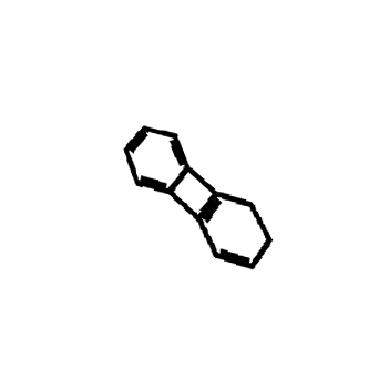 C1=CC2=C(CC1)c1ccccc12